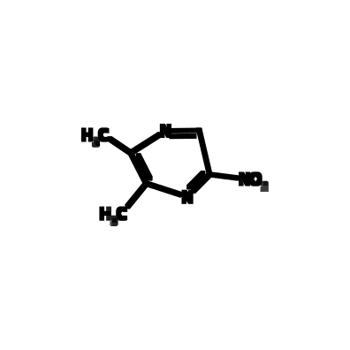 Cc1ncc([N+](=O)[O-])nc1C